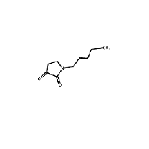 CCCCCN1CCC(=O)C1=O